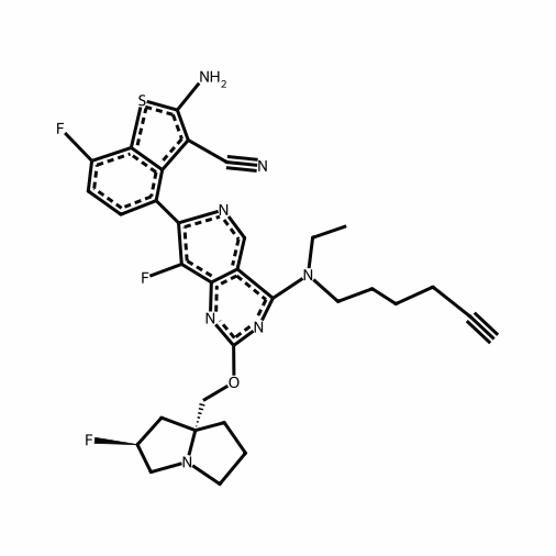 C#CCCCCN(CC)c1nc(OC[C@]23CCCN2C[C@@H](F)C3)nc2c(F)c(-c3ccc(F)c4sc(N)c(C#N)c34)ncc12